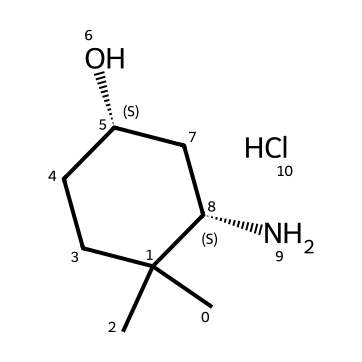 CC1(C)CC[C@H](O)C[C@@H]1N.Cl